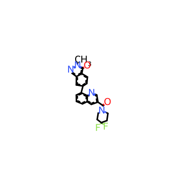 Cn1ncc2cc(-c3cccc4cc(C(=O)N5CCC(F)(F)CC5)cnc34)ccc2c1=O